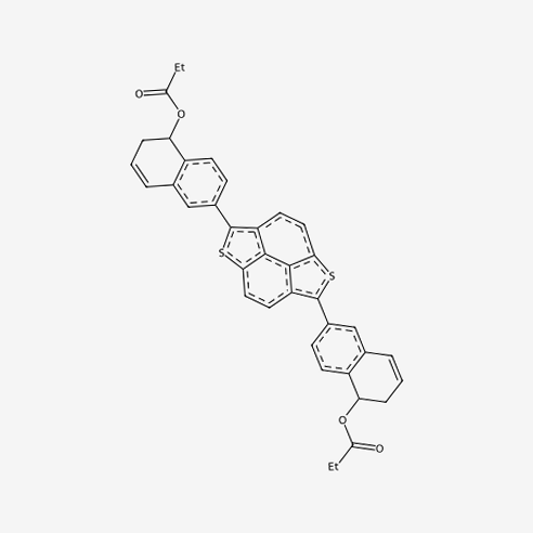 CCC(=O)OC1CC=Cc2cc(-c3sc4ccc5c(-c6ccc7c(c6)C=CCC7OC(=O)CC)sc6ccc3c4c65)ccc21